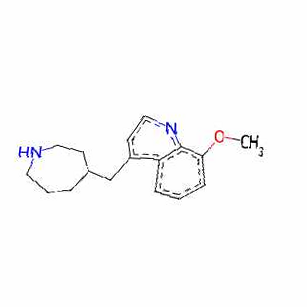 COc1cccc2c(CC3CCCNCC3)ccnc12